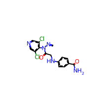 C=NN(C(=O)CNc1ccc(C(N)=O)cc1)c1c(Cl)cncc1Cl